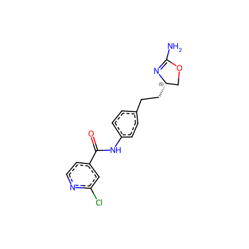 NC1=N[C@@H](CCc2ccc(NC(=O)c3ccnc(Cl)c3)cc2)CO1